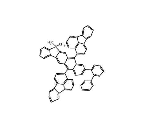 C[Si]1(C)c2ccccc2-c2cc3c(-c4ccc5c6c(cccc46)-c4ccccc4-5)c4ccc(-c5ccccc5-c5ccccc5)cc4c(-c4ccc5c6c(cccc46)-c4ccccc4-5)c3cc21